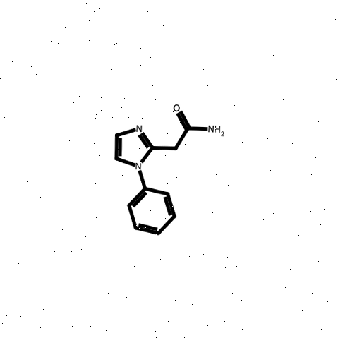 NC(=O)Cc1nccn1-c1ccccc1